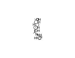 CC(C=NNc1ncc[nH]1)=C[C@]1(O)CC[C@@]2(C)[C@H](CC[C@@H]3[C@@H]2CC[C@]2(C)CCC[C@]32O)C1